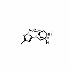 CC(=O)O[C@@]12CN[C@H](CN1c1cc(C)ns1)C2